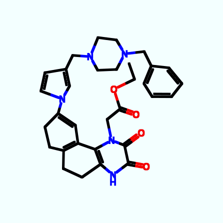 CCOC(=O)Cn1c2c([nH]c(=O)c1=O)CCC1=C2C=C(n2ccc(CN3CCN(Cc4ccccc4)CC3)c2)CC1